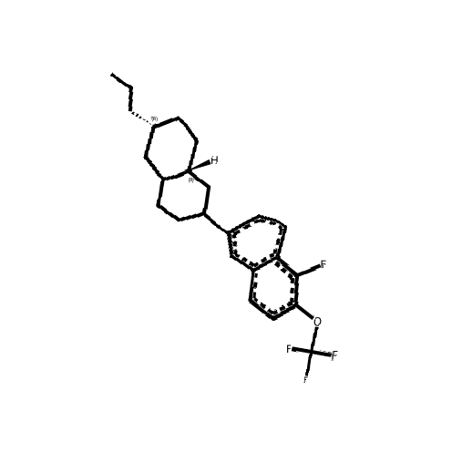 CCC[C@@H]1CC[C@@H]2CC(c3ccc4c(F)c(OC(F)(F)F)ccc4c3)CCC2C1